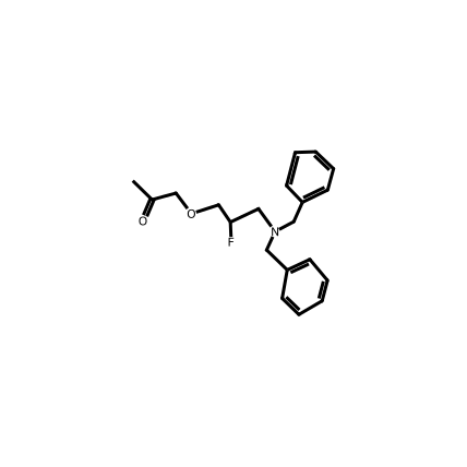 CC(=O)COCC(F)CN(Cc1ccccc1)Cc1ccccc1